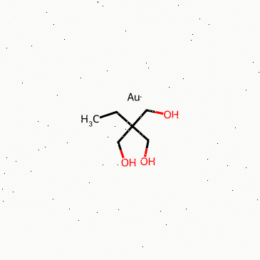 CCC(CO)(CO)CO.[Au]